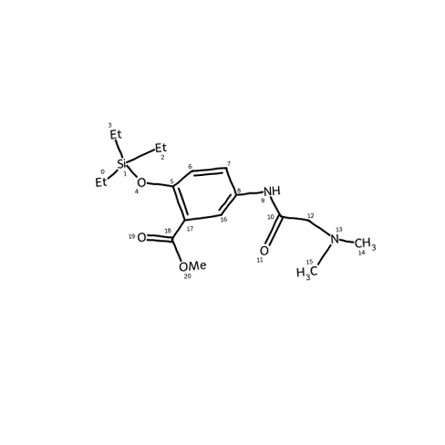 CC[Si](CC)(CC)Oc1ccc(NC(=O)CN(C)C)cc1C(=O)OC